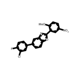 COc1ccc([N+](=O)[O-])cc1-c1nc2cc(-c3ccc(F)c(Cl)c3)ccc2o1